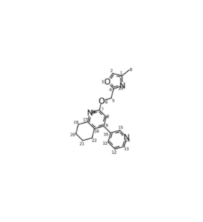 Cc1coc(COc2cc(-c3cccnc3)c3c(n2)CCCC3)n1